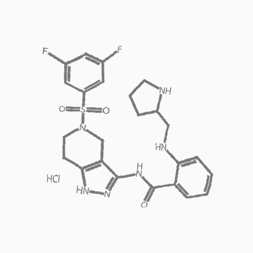 Cl.O=C(Nc1n[nH]c2c1CN(S(=O)(=O)c1cc(F)cc(F)c1)CC2)c1ccccc1NCC1CCCN1